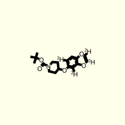 [2H]C1=C([2H])Oc2c(cc([2H])c(OC3CCN(C(=O)OC(C)(C)C)CC3)c2[2H])O1